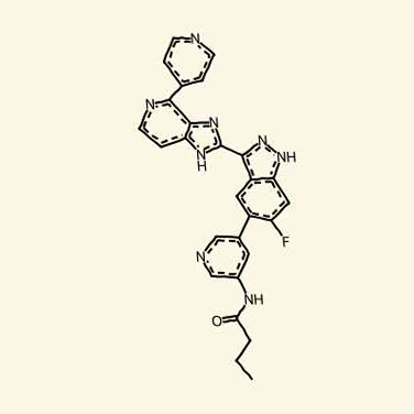 CCCC(=O)Nc1cncc(-c2cc3c(-c4nc5c(-c6ccncc6)nccc5[nH]4)n[nH]c3cc2F)c1